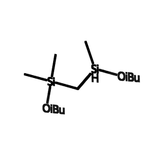 CC(C)CO[SiH](C)C[Si](C)(C)OCC(C)C